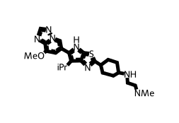 CNCCNC1CCC(c2nc3c(C(C)C)c(-c4cc(OC)c5ncnn5c4)[nH]c3s2)CC1